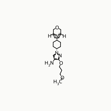 COCCCOc1nn([C@H]2CC[C@H](N3[C@@H]4CC[C@H]3COC4)CC2)cc1N